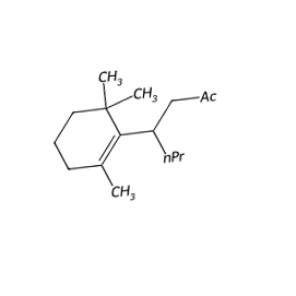 CCCC(CC(C)=O)C1=C(C)CCCC1(C)C